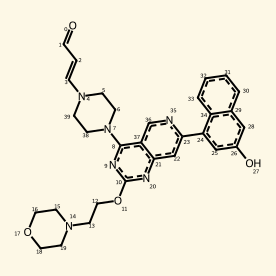 O=CC=CN1CCN(c2nc(OCCN3CCOCC3)nc3cc(-c4cc(O)cc5ccccc45)ncc23)CC1